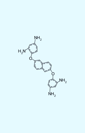 Nc1ccc(Oc2ccc3cc(Oc4ccc(N)cc4N)ccc3c2)c(N)c1